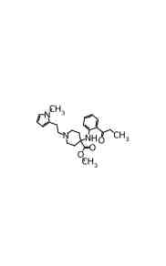 CCC(=O)c1ccccc1NC1(C(=O)OC)CCN(CCc2cccn2C)CC1